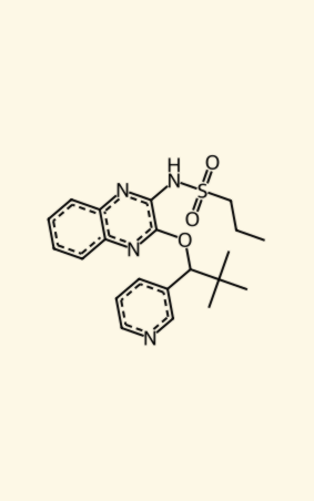 CCCS(=O)(=O)Nc1nc2ccccc2nc1OC(c1cccnc1)C(C)(C)C